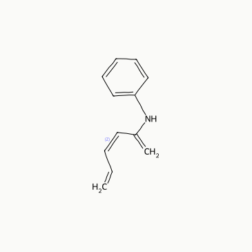 C=C/C=C\C(=C)Nc1ccccc1